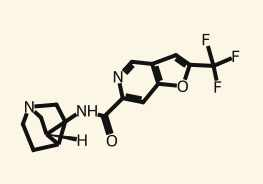 O=C(N[C@H]1CN2CCC1CC2)c1cc2oc(C(F)(F)F)cc2cn1